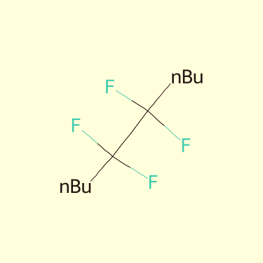 CCCCC(F)(F)C(F)(F)CCCC